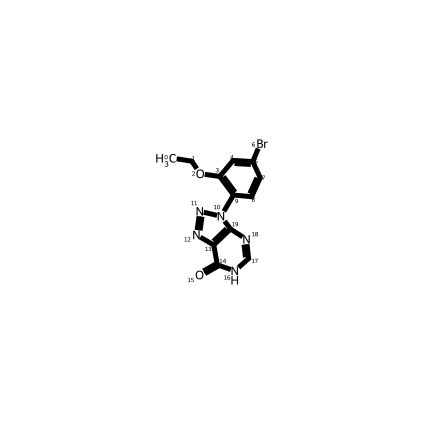 CCOc1cc(Br)ccc1-n1nnc2c(=O)[nH]cnc21